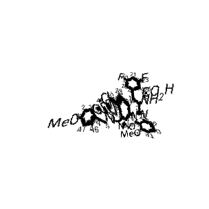 COc1ccc(CN(c2nn(C)c3c(-n4c(C(Cc5cc(F)cc(F)c5)NC(=O)O)nc5cccc(OC)c5c4=O)ccc(Cl)c23)S(C)(=O)=O)cc1